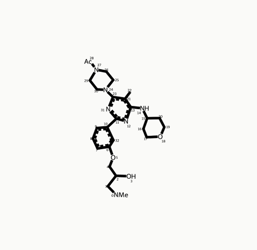 CNCC(O)COc1cccc(-c2nc(NC3CCOCC3)c(C)c(N3CCN(C(C)=O)CC3)n2)c1